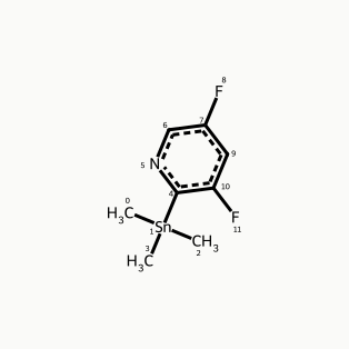 [CH3][Sn]([CH3])([CH3])[c]1ncc(F)cc1F